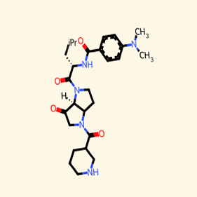 CC(C)C[C@H](NC(=O)c1ccc(N(C)C)cc1)C(=O)N1CCC2[C@H]1C(=O)CN2C(=O)C1CCCNC1